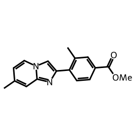 COC(=O)c1ccc(-c2cn3ccc(C)cc3n2)c(C)c1